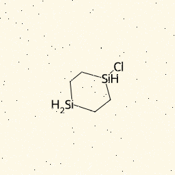 Cl[SiH]1CC[SiH2]CC1